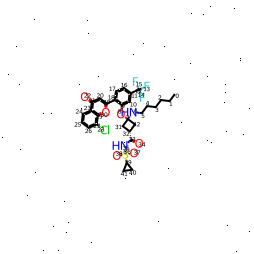 CCCCCCN[C@]1(Oc2cc(C(F)(F)F)ccc2-c2cc(=O)c3cccc(Cl)c3o2)C[C@@H](C(=O)NS(=O)(=O)C2CC2)C1